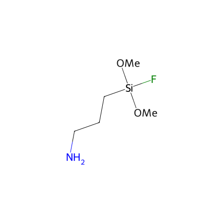 CO[Si](F)(CCCN)OC